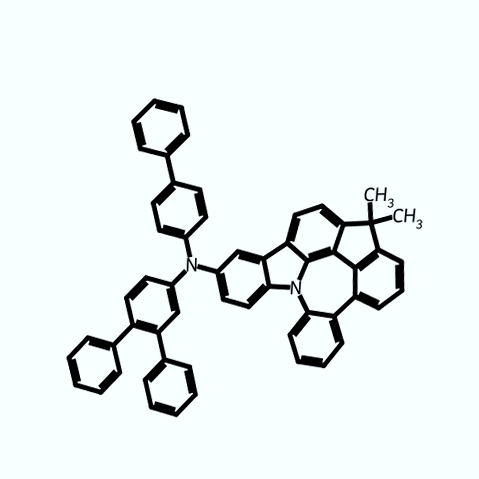 CC1(C)c2cccc3c2-c2c1ccc1c4cc(N(c5ccc(-c6ccccc6)cc5)c5ccc(-c6ccccc6)c(-c6ccccc6)c5)ccc4n(c21)-c1ccccc1-3